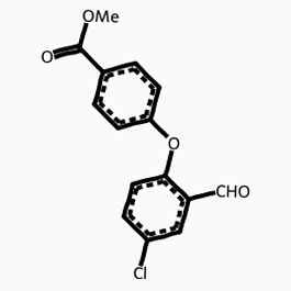 COC(=O)c1ccc(Oc2ccc(Cl)cc2C=O)cc1